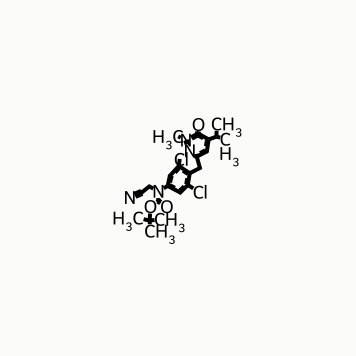 CC(C)c1cc(Cc2c(Cl)cc(N(CC#N)C(=O)OC(C)(C)C)cc2Cl)nn(C)c1=O